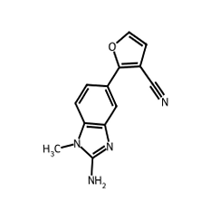 Cn1c(N)nc2cc(-c3occc3C#N)ccc21